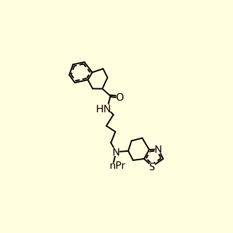 CCCN(CCCCNC(=O)C1CCc2ccccc2C1)C1CCc2ncsc2C1